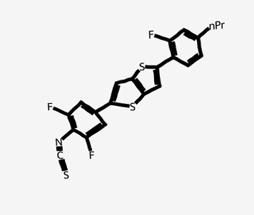 CCCc1ccc(-c2cc3sc(-c4cc(F)c(N=C=S)c(F)c4)cc3s2)c(F)c1